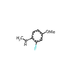 CBc1ccc(OC)cc1F